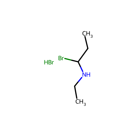 Br.CCNC(Br)CC